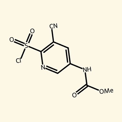 COC(=O)Nc1cnc(S(=O)(=O)Cl)c(C#N)c1